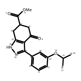 COC(=O)C1CC(=O)c2c(-c3cccc(OC(F)F)c3)n[nH]c2C1